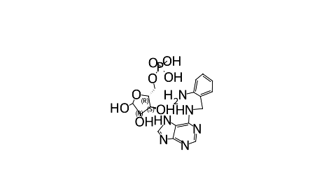 Nc1ccccc1CNc1ncnc2nc[nH]c12.O=P(O)(O)OC[C@H]1OC(O)[C@H](O)[C@@H]1O